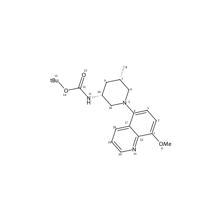 COc1ccc(N2C[C@@H](C)C[C@@H](NC(=O)OC(C)(C)C)C2)c2cccnc12